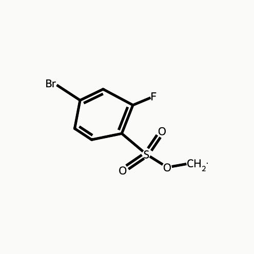 [CH2]OS(=O)(=O)c1ccc(Br)cc1F